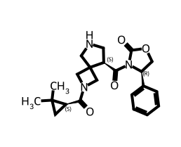 CC1(C)C[C@@H]1C(=O)N1CC2(CNC[C@H]2C(=O)N2C(=O)OC[C@H]2c2ccccc2)C1